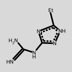 CCc1nc(NC(=N)N)n[nH]1